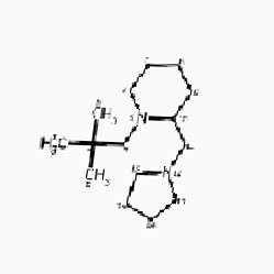 CC(C)(C)CN1CCCCC1CN1CCCC1